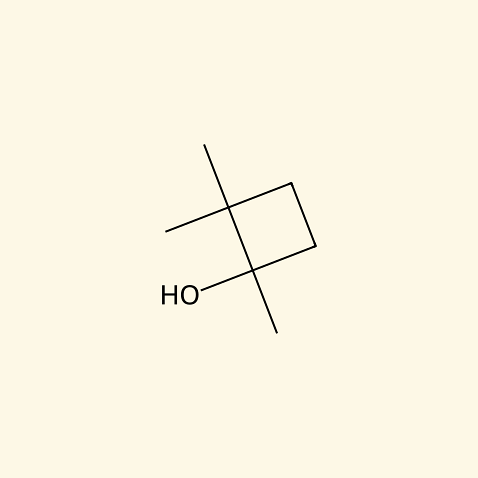 CC1(C)CCC1(C)O